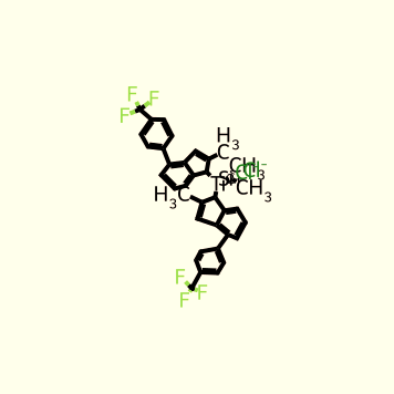 CC1=Cc2c(-c3ccc(C(F)(F)F)cc3)cccc2[CH]1[Ti+2]([CH]1C(C)=Cc2c(-c3ccc(C(F)(F)F)cc3)cccc21)=[Si](C)C.[Cl-].[Cl-]